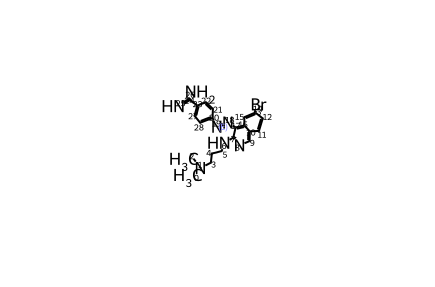 CN(C)CCCNc1ncc2ccc(Br)cc2c1/N=N/c1ccc(C(=N)N)cc1